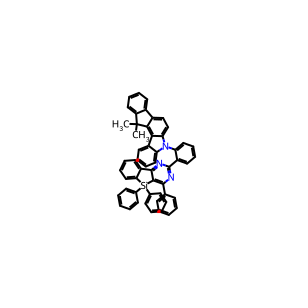 CC1(C)c2ccccc2-c2ccc3c(c21)c1ccccc1n3-c1ccccc1-c1nc(-c2ccccc2)c2c(n1)-c1ccccc1[Si]2(c1ccccc1)c1ccccc1